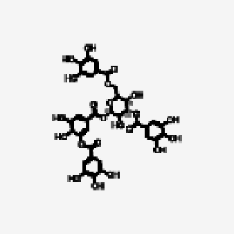 O=C(OCC1O[C@@H](OC(=O)c2cc(O)c(O)c(OC(=O)c3cc(O)c(O)c(O)c3)c2)C(O)[C@@H](OC(=O)c2cc(O)c(O)c(O)c2)[C@@H]1O)c1cc(O)c(O)c(O)c1